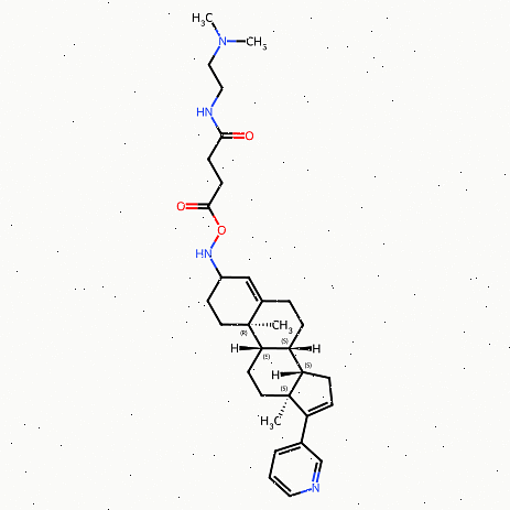 CN(C)CCNC(=O)CCC(=O)ONC1C=C2CC[C@H]3[C@H](CC[C@]4(C)C(c5cccnc5)=CC[C@@H]34)[C@@]2(C)CC1